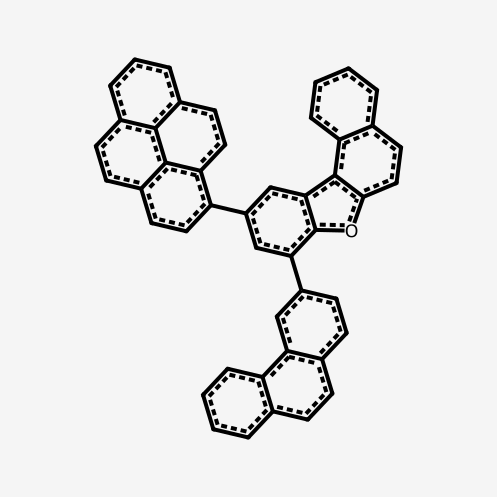 c1ccc2c(c1)ccc1ccc(-c3cc(-c4ccc5ccc6cccc7ccc4c5c67)cc4c3oc3ccc5ccccc5c34)cc12